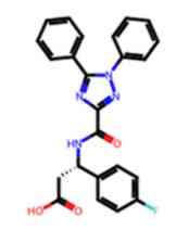 O=C(O)C[C@H](NC(=O)c1nc(-c2ccccc2)n(-c2ccccc2)n1)c1ccc(F)cc1